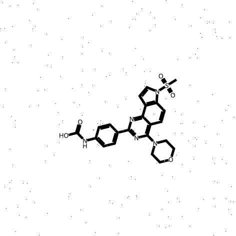 CS(=O)(=O)n1ccc2c3nc(-c4ccc(NC(=O)O)cc4)nc(N4CCOCC4)c3ccc21